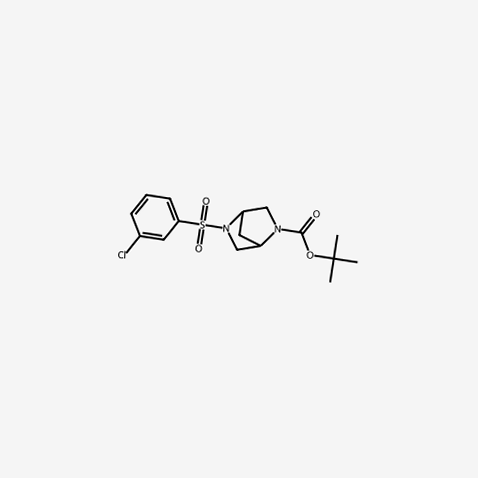 CC(C)(C)OC(=O)N1CC2CC1CN2S(=O)(=O)c1cccc(Cl)c1